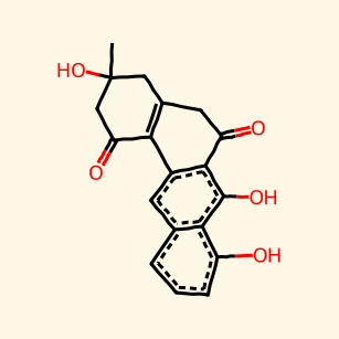 CC1(O)CC(=O)C2=C(CC(=O)c3c2cc2cccc(O)c2c3O)C1